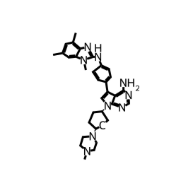 Cc1cc(C)c2nc(Nc3ccc(-c4cn([C@H]5CC[C@@H](N6CCN(C)CC6)CC5)c5ncnc(N)c45)cc3)n(C)c2c1